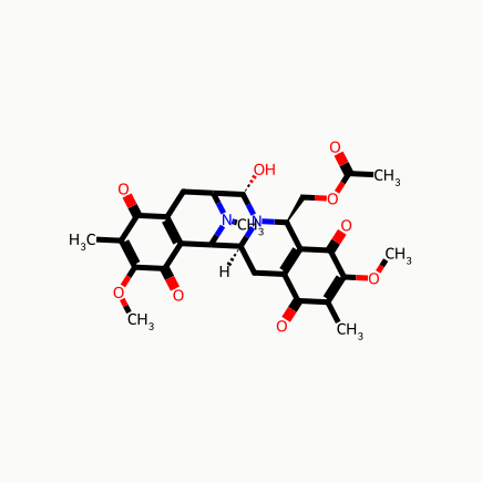 COC1=C(C)C(=O)C2=C(C1=O)C1[C@@H]3CC4=C(C(=O)C(OC)=C(C)C4=O)[C@H](COC(C)=O)N3[C@@H](O)C(C2)N1C